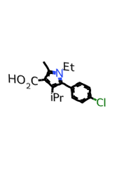 CCn1c(C)c(C(=O)O)c(C(C)C)c1-c1ccc(Cl)cc1